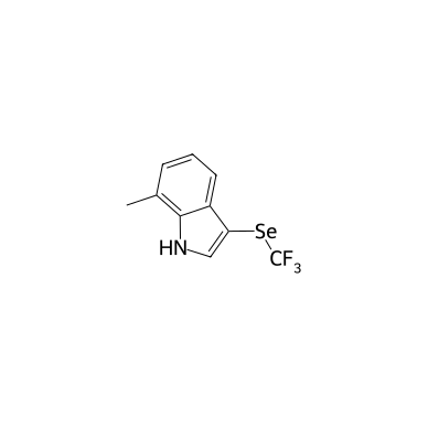 Cc1cccc2c([Se]C(F)(F)F)c[nH]c12